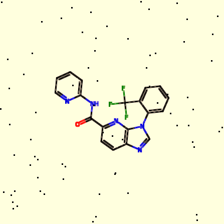 O=C(Nc1ccccn1)c1ccc2ncn(-c3ccccc3C(F)(F)F)c2n1